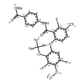 [2H]C([2H])([2H])Oc1c(Oc2ccc(C(F)(F)F)c(F)c2C(=O)Nc2ccc(C(=O)OC)nc2)cc(F)c(OC(F)(F)F)c1F